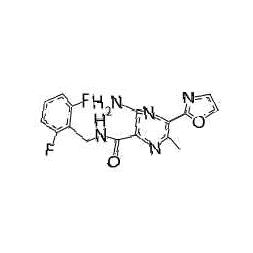 Cc1nc(C(=O)NCc2c(F)cccc2F)c(N)nc1-c1ncco1